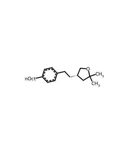 CCCCCCCCc1ccc(CC[C@@H]2COC(C)(C)C2)cc1